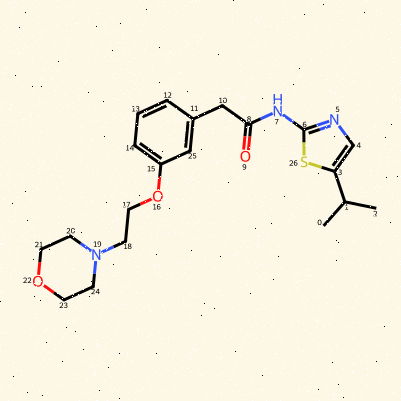 CC(C)c1cnc(NC(=O)Cc2cccc(OCCN3CCOCC3)c2)s1